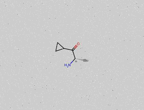 CC(C)(C)[C@H](N)C(=O)C1CC1